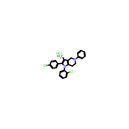 Cc1c2c(n(-c3ccccc3Cl)c1-c1ccc(Cl)cc1)CCN(c1ccccc1)C2.Cl